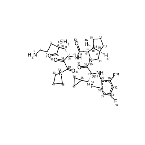 NCCC[C@]([SiH3])(C=O)C[C@H](NC(=O)[C@@H]1[C@H]2CCC[C@H]2CN1C(=O)[C@@H](CC1CC1)Nc1c(F)cc(F)cc1F)C(=O)C(=O)N1CCC1